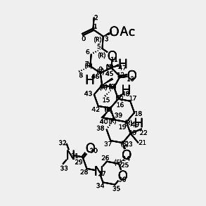 C=C(C)[C@@H](OC(C)=O)[C@H]1C[C@@H](C)[C@H]2[C@H](O1)C(=O)[C@@]1(C)[C@@H]3CC[C@H]4C(C)(C)[C@@H](O[C@H]5CN(CC(=O)N(C)C)CCO5)CC[C@@]45C[C@@]35CC[C@]21C